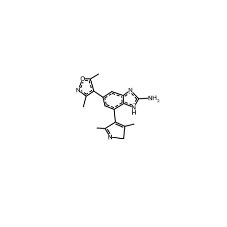 CC1=NCC(C)=C1c1cc(-c2c(C)noc2C)cc2nc(N)[nH]c12